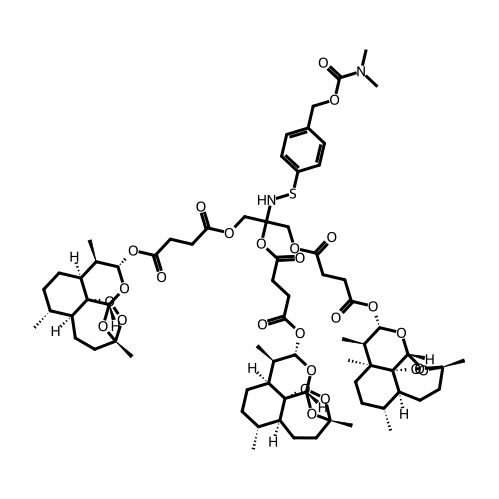 C[C@H]1[C@H](OC(=O)CCC(=O)OCC(COC(=O)CCC(=O)O[C@@H]2O[C@@H]3O[C@@]4(C)CC[C@H]5[C@H](C)CC[C@@](C)([C@H]2C)[C@@]35OO4)(NSc2ccc(COC(=O)N(C)C)cc2)OC(=O)CCC(=O)O[C@@H]2O[C@@H]3O[C@@]4(C)CC[C@H]5[C@H](C)CC[C@@H]([C@H]2C)[C@@]35OO4)O[C@@H]2O[C@@]3(C)CC[C@H]4[C@H](C)CC[C@@H]1[C@@]24OO3